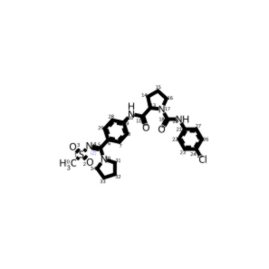 CS(=O)(=O)/N=C(/c1ccc(NC(=O)C2CCCN2C(=O)Nc2ccc(Cl)cc2)cc1)N1CCCC1